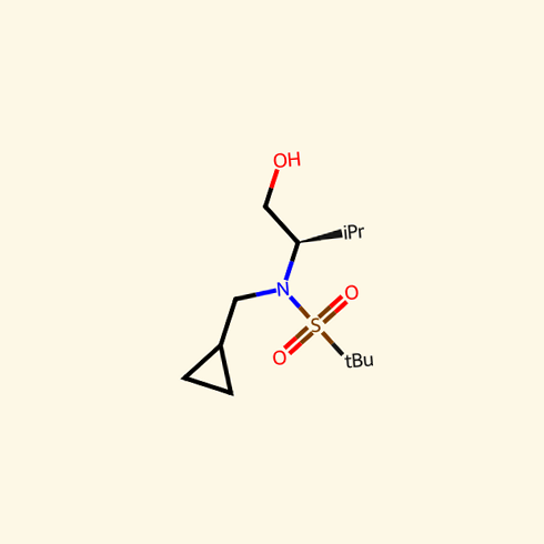 CC(C)[C@H](CO)N(CC1CC1)S(=O)(=O)C(C)(C)C